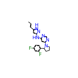 C/C=C/c1cc(Nc2cc(N3CCCC3c3ccc(F)cc3F)ncn2)n[nH]1